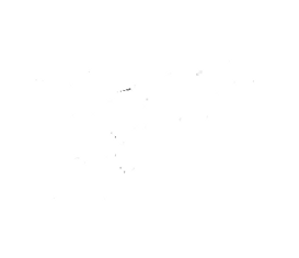 CS(=O)(=O)c1ccc(C(=C[C@H]2CCC(=O)C2)C(=O)Nc2ncc(F)s2)cc1